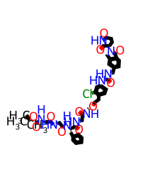 CC(C)(C)OC(=O)NCC(=O)NCC(=O)N[C@@H](Cc1ccccc1)C(=O)NCC(=O)NCOCCc1ccc(NC(=O)NCc2ccc3c(c2)CN(C2CCC(=O)NC2=O)C3=O)cc1Cl